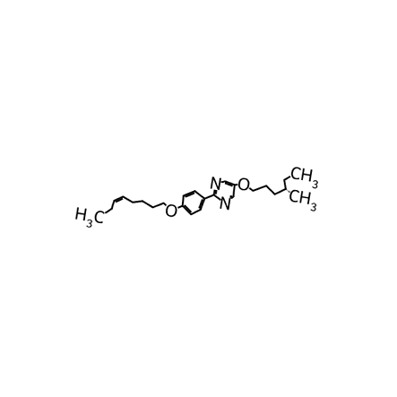 CC/C=C\CCCCOc1ccc(-c2ncc(OCCC[C@@H](C)CC)cn2)cc1